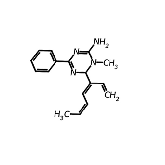 C=C/C(=C\C=C/C)C1N=C(c2ccccc2)N=C(N)N1C